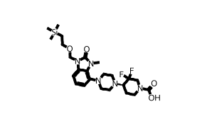 Cn1c(=O)n(COCC[Si](C)(C)C)c2cccc(N3CCN([C@@H]4CCN(C(=O)O)CC4(F)F)CC3)c21